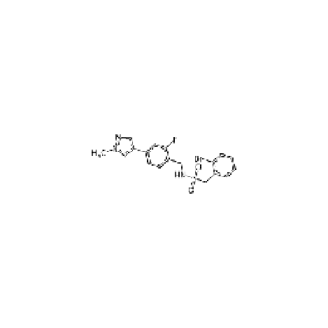 Cn1cc(-c2ccc(CNS(=O)(=O)Cc3ccccc3Br)c(F)c2)cn1